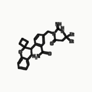 CCC1(CC)CC(=O)N(Cc2ccc(C3Cc4ccccc4OC34CCC4)c(C(N)=O)c2)C(=N)N1